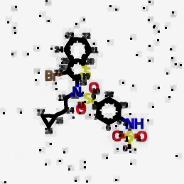 CS(=O)(=O)Nc1ccc(S(=O)(=O)N(CCC2CC2)c2sc3ccccc3c2Br)cc1